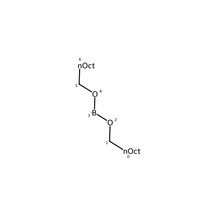 CCCCCCCCCO[B]OCCCCCCCCC